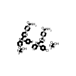 NC(=O)N1CCN(c2ccc(-c3nc4ccncc4n3-c3ccc(F)cc3)cn2)CC1.NC(=O)N1CCN(c2ncc(-c3nc4ccncc4n3-c3ccc(Cl)cc3)o2)CC1.O=C(O)C(F)(F)F.O=C(O)C(F)(F)F